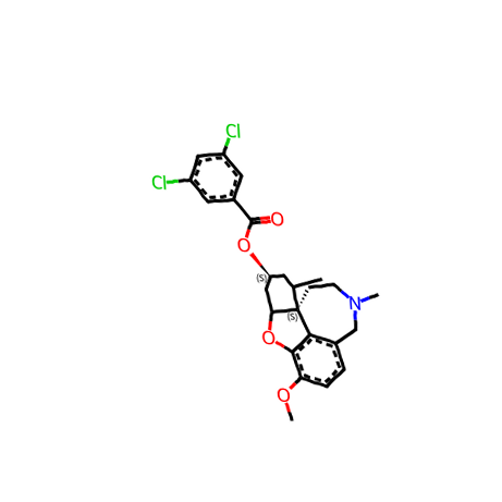 COc1ccc2c3c1OC1C[C@@H](OC(=O)c4cc(Cl)cc(Cl)c4)CC(C)[C@@]31CCN(C)C2